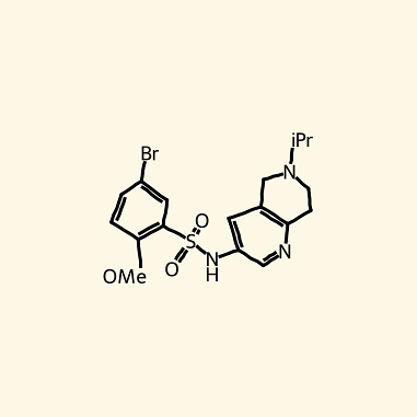 COc1ccc(Br)cc1S(=O)(=O)Nc1cnc2c(c1)CN(C(C)C)CC2